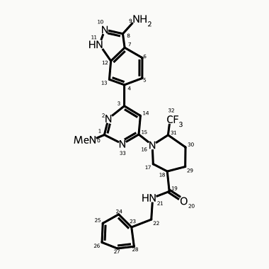 CNc1nc(-c2ccc3c(N)n[nH]c3c2)cc(N2CC(C(=O)NCc3ccccc3)CCC2C(F)(F)F)n1